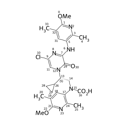 COc1nc(C)c(Nc2nc(Cl)cn([C@H](CN(C(=O)O)c3cc(C)c(OC)nc3C)C3CC3)c2=O)cc1C